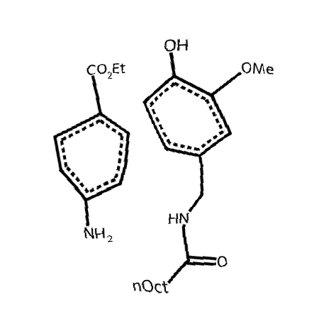 CCCCCCCCC(=O)NCc1ccc(O)c(OC)c1.CCOC(=O)c1ccc(N)cc1